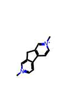 C[n+]1ccc2c(c1)Cc1c[n+](C)ccc1-2